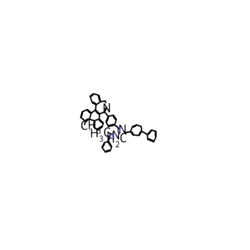 C=C(/N=C(\N=C(/C)c1ccccc1)c1ccc(C2=NCc3ccccc3-c3c2c2ccccc2c2c(C)cccc32)cc1)C1=CC=C(c2ccccc2)CC=C1